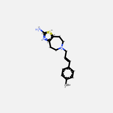 CC(C)COc1ccc(/C=C/CN2CCc3nc(N)sc3CC2)cc1